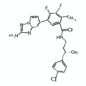 Cc1c(C(=O)NCC[C@H](O)c2ccc(Cl)cc2)cc(-c2ccn3nc(N)nc3c2)c(F)c1F